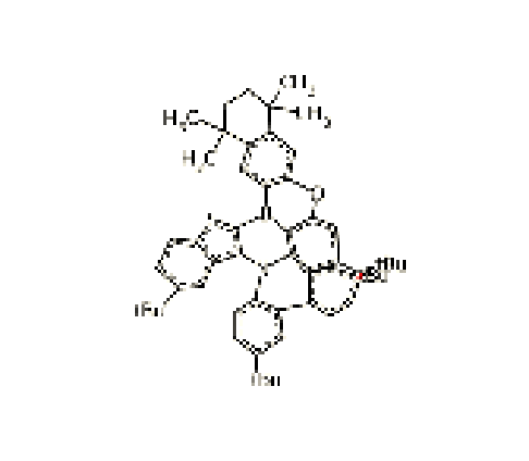 CC(C)(C)c1ccc(-c2cc(C(C)(C)C)ccc2N2c3cc(C(C)(C)C)cc4c3B(c3cc5c(cc3O4)C(C)(C)CCC5(C)C)c3sc4ccc(C(C)(C)C)cc4c32)cc1